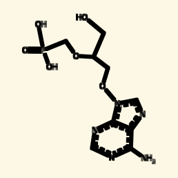 Nc1ncnc2c1ncn2OCC(CO)OCP(=O)(O)O